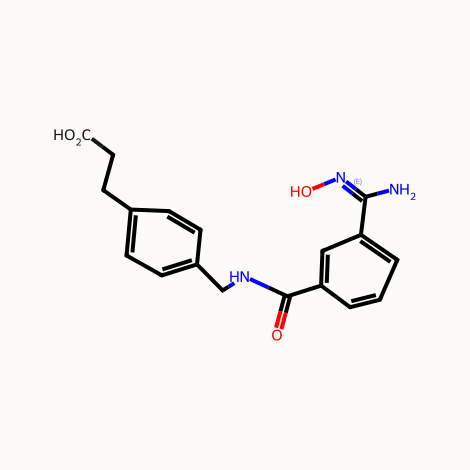 N/C(=N/O)c1cccc(C(=O)NCc2ccc(CCC(=O)O)cc2)c1